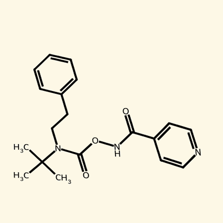 CC(C)(C)N(CCc1ccccc1)C(=O)ONC(=O)c1ccncc1